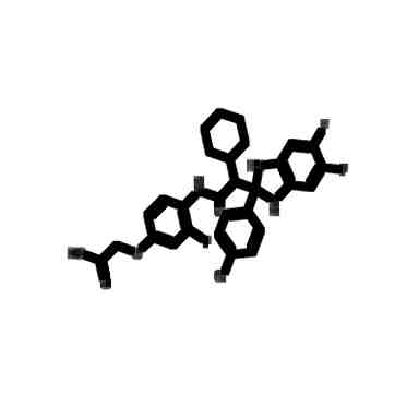 O=C(O)COc1ccc(NC(=O)C(C2CCCCC2)C2(c3ccc(Cl)cc3)Nc3cc(F)c(F)cc3N2)c(F)c1